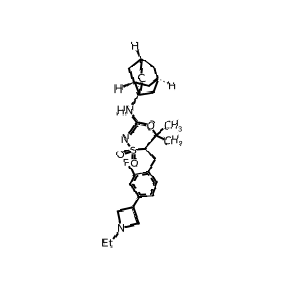 CCN1CC(c2ccc(C[C@@H]3C(C)(C)OC(N[C@@]45C[C@@H]6C[C@@H](C[C@@H]4C6)C5)=NS3(=O)=O)c(F)c2)C1